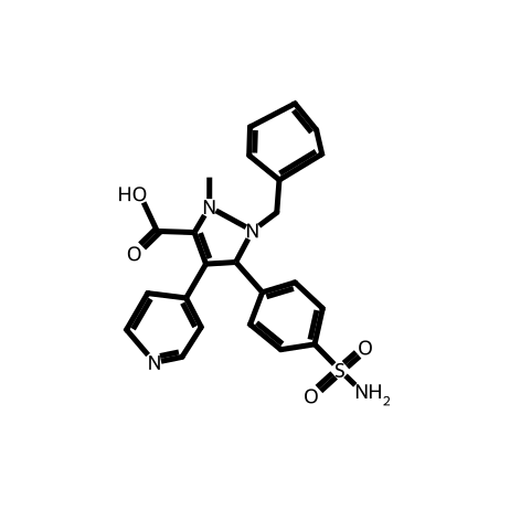 CN1C(C(=O)O)=C(c2ccncc2)C(c2ccc(S(N)(=O)=O)cc2)N1Cc1ccccc1